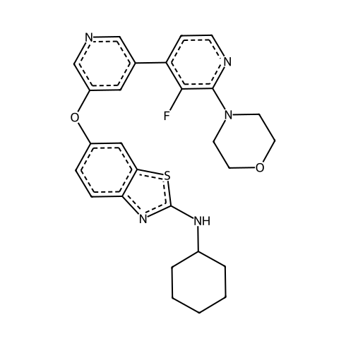 Fc1c(-c2cncc(Oc3ccc4nc(NC5CCCCC5)sc4c3)c2)ccnc1N1CCOCC1